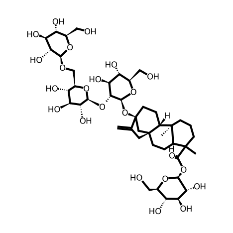 C=C1C[C@]23CC[C@H]4C(C)(C(=O)O[C@@H]5O[C@H](CO)[C@@H](O)[C@H](O)[C@H]5O)CCC[C@]4(C)[C@H]2CC[C@]1(O[C@@H]1O[C@H](CO)[C@@H](O)[C@H](O)[C@H]1O[C@@H]1O[C@H](CO[C@@H]2O[C@H](CO)[C@@H](O)[C@H](O)[C@H]2O)[C@@H](O)[C@H](O)[C@H]1O)C3